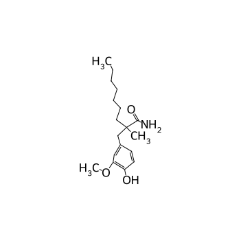 CCCCCCCC(C)(Cc1ccc(O)c(OC)c1)C(N)=O